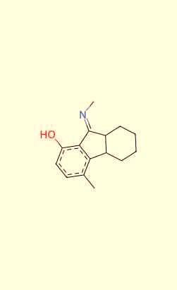 CN=C1c2c(O)ccc(C)c2C2CCCCC12